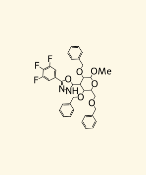 COC1OC(COCc2ccccc2)C(OCc2ccccc2)C(C2NN=C(c3cc(F)c(F)c(F)c3)O2)C1OCc1ccccc1